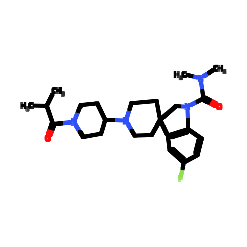 CC(C)C(=O)N1CCC(N2CCC3(CC2)CN(C(=O)N(C)C)c2ccc(F)cc23)CC1